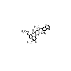 COCc1cn2c(n1)c(N1C[C@@H](C)N(C(C)c3ccc4nccnc4c3)C[C@@H]1C)cc(=O)n2C